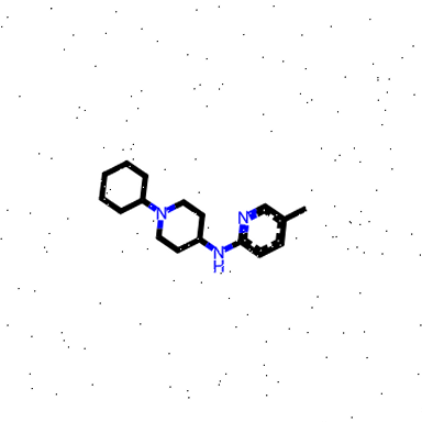 Cc1ccc(NC2CCN(C3CCCCC3)CC2)nc1